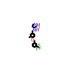 Cc1cc(CNC2CCNC2=O)ccc1OCc1cccc(C(F)(F)F)c1